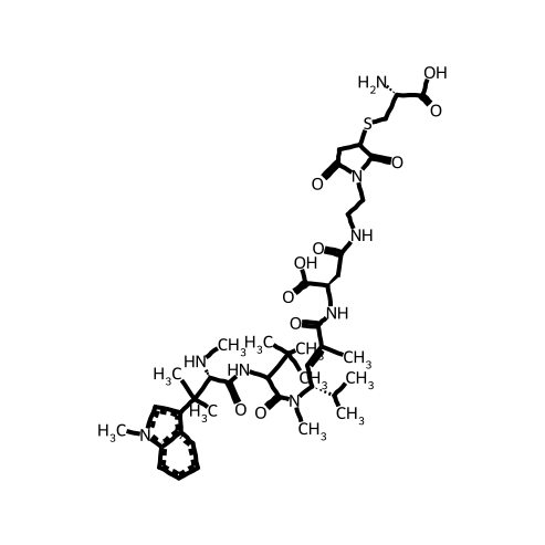 CN[C@H](C(=O)NC(C(=O)N(C)[C@H](/C=C(\C)C(=O)N[C@H](CC(=O)NCCN1C(=O)CC(SC[C@H](N)C(=O)O)C1=O)C(=O)O)C(C)C)C(C)(C)C)C(C)(C)c1cn(C)c2ccccc12